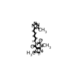 Cn1nnnc1CCCCCn1c(=O)c2c(ncn2C)n(C)c1=O